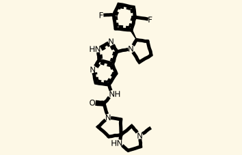 CN1CCNC2(CCN(C(=O)Nc3cnc4[nH]nc(N5CCC[C@@H]5c5cc(F)ccc5F)c4c3)C2)C1